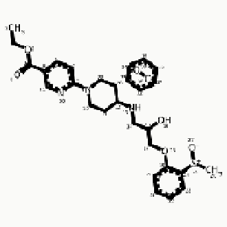 CCOC(=O)c1ccc(N2CCC(NCC(O)COc3ccccc3[S+](C)[O-])CC2)nc1.c1cc2ccc1CO2